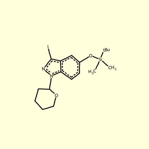 CC(C)(C)[Si](C)(C)Oc1ccc2c(c1)c(I)nn2C1CCCCO1